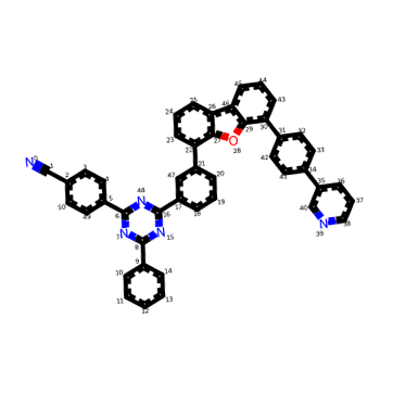 N#Cc1ccc(-c2nc(-c3ccccc3)nc(-c3cccc(-c4cccc5c4oc4c(-c6ccc(-c7cccnc7)cc6)cccc45)c3)n2)cc1